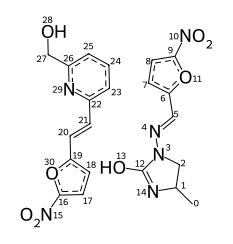 CC1CN(/N=C/c2ccc([N+](=O)[O-])o2)C(O)=N1.O=[N+]([O-])c1ccc(/C=C/c2cccc(CO)n2)o1